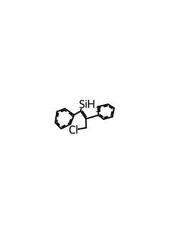 [SiH3]C(=C(CCl)c1ccccc1)c1ccccc1